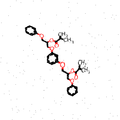 C=C(C)C(=O)OC(COc1ccccc1)COc1cccc(OCC(COc2ccccc2)OC(=O)C(=C)C)c1